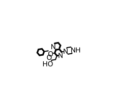 O=C(O)Cc1nc(N2CCNCC2)c2cccnc2c1OCc1ccccc1